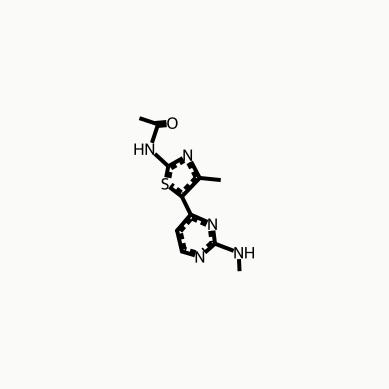 CNc1nccc(-c2sc(NC(C)=O)nc2C)n1